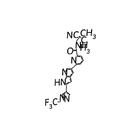 CC(C)(C#N)CNC(=O)c1cccc(-c2cnc3[nH]c(-c4cnn(CC(F)(F)F)c4)cc3c2)n1